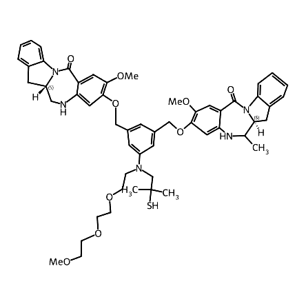 COCCOCCOCCN(CC(C)(C)S)c1cc(COc2cc3c(cc2OC)C(=O)N2c4ccccc4C[C@H]2CN3)cc(COc2cc3c(cc2OC)C(=O)N2c4ccccc4C[C@H]2C(C)N3)c1